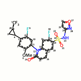 COc1cc(C2C[C@H]2C(F)(F)F)c(F)cc1-n1c(=O)ccc2cc(S(=O)(=O)Nc3ccon3)c(F)cc21